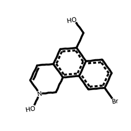 OCc1cc2c(c3cc(Br)ccc13)CN(O)C=C2